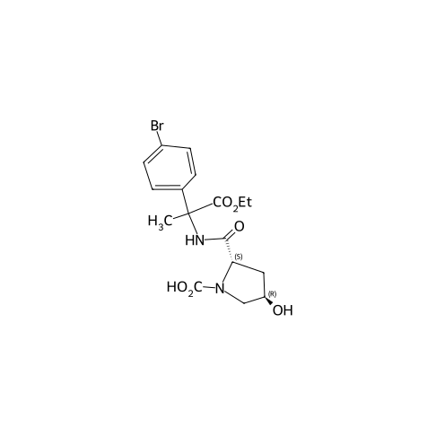 CCOC(=O)C(C)(NC(=O)[C@@H]1C[C@@H](O)CN1C(=O)O)c1ccc(Br)cc1